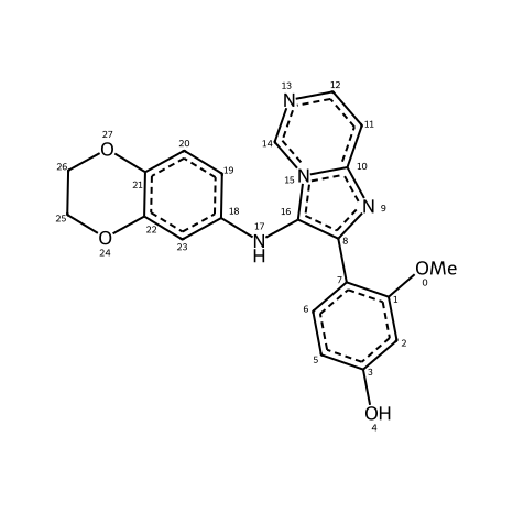 COc1cc(O)ccc1-c1nc2ccncn2c1Nc1ccc2c(c1)OCCO2